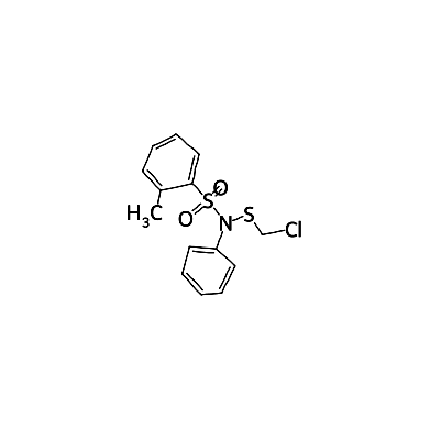 Cc1ccccc1S(=O)(=O)N(SCCl)c1ccccc1